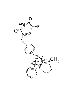 CC1(C)C2CCC1(C)C1OB(c3ccc(Cn4cc(F)c(=O)[nH]c4=O)cc3)OC21c1ccccc1